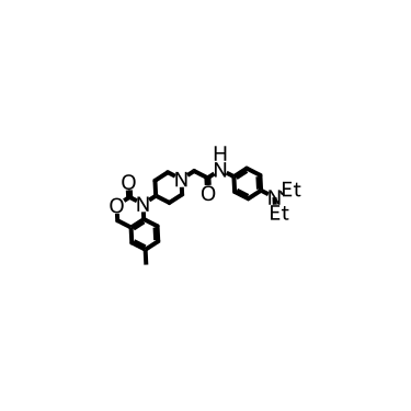 CCN(CC)c1ccc(NC(=O)CN2CCC(N3C(=O)OCc4cc(C)ccc43)CC2)cc1